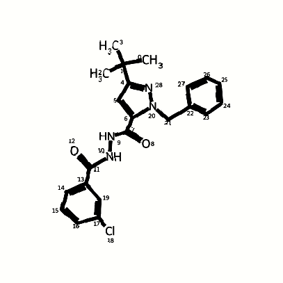 CC(C)(C)c1cc(C(=O)NNC(=O)c2cccc(Cl)c2)n(Cc2ccccc2)n1